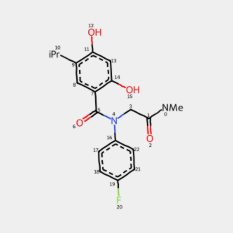 CNC(=O)CN(C(=O)c1cc(C(C)C)c(O)cc1O)c1ccc(F)cc1